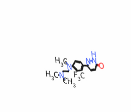 CN(C)CCN(C)c1ccc(-c2ccc(=O)[nH]n2)cc1C(F)(F)F